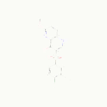 COc1ccc2[nH]cc(S(=O)(=O)c3ccc(F)c(F)c3)c(=O)c2n1